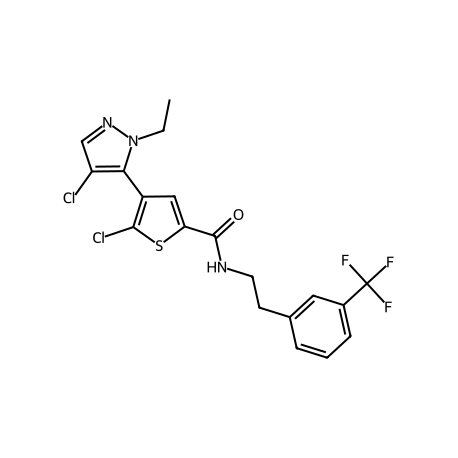 CCn1ncc(Cl)c1-c1cc(C(=O)NCCc2cccc(C(F)(F)F)c2)sc1Cl